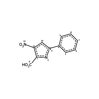 O=C(O)c1nn(-c2ccccc2)cc1[N+](=O)[O-]